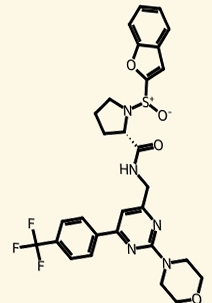 O=C(NCc1cc(-c2ccc(C(F)(F)F)cc2)nc(N2CCOCC2)n1)[C@@H]1CCCN1[S+]([O-])c1cc2ccccc2o1